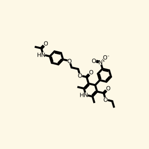 CCOC(=O)C1=C(C)NC(C)=C(C(=O)OCCOc2ccc(NC(C)=O)cc2)C1c1cccc([N+](=O)[O-])c1